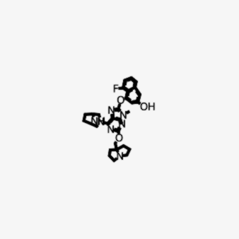 Cn1c(Oc2cc(O)cc3cccc(F)c23)nc2c(N3CC4CCC(C3)N4)nc(OCC34CCCN3CCC4)nc21